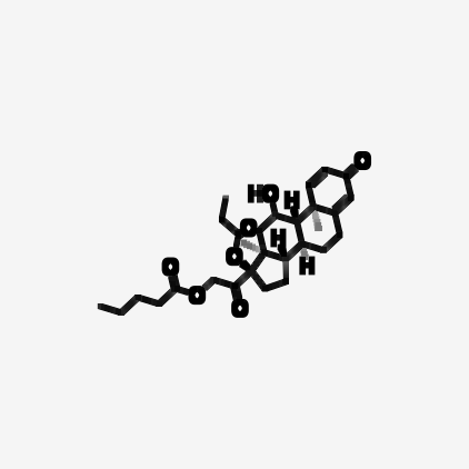 CCCCC(=O)OCC(=O)[C@@]1(OC(=O)CC)CC[C@H]2[C@@H]3CCC4=CC(=O)C=C[C@]4(C)[C@H]3C(O)C[C@@]21C